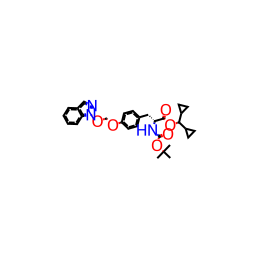 CC(C)(C)OC(=O)N[C@H](Cc1ccc(OCOn2ncc3ccccc32)cc1)C(=O)OC(C1CC1)C1CC1